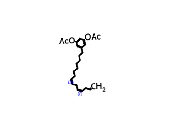 C=CC/C=C\C/C=C\CCCCCCCc1cc(OC(C)=O)cc(OC(C)=O)c1